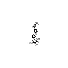 Cc1nnc(-c2ccc(Oc3cccc([C@H]4O[C@H](CO)[C@@H](O)[C@H](O)[C@@H]4O)c3)cc2)o1